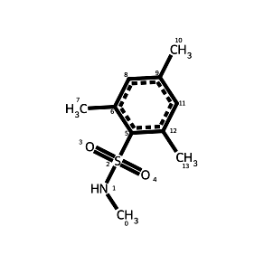 CNS(=O)(=O)c1c(C)cc(C)cc1C